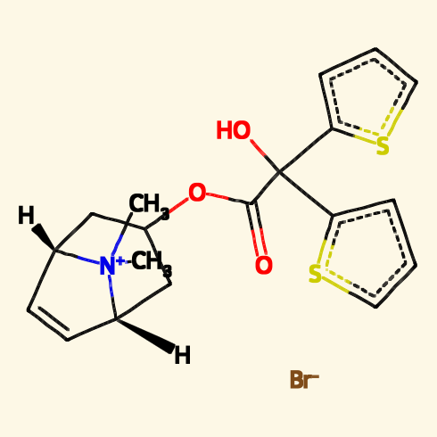 C[N+]1(C)[C@@H]2C=C[C@H]1CC(OC(=O)C(O)(c1cccs1)c1cccs1)C2.[Br-]